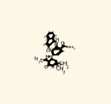 Cc1nn(-c2ccc(C(N)=O)c(N[C@@H]3c4ccccc4C[C@@H]3O)c2)c2c1C(=O)CC(C)(C)C2